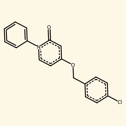 O=c1cc(OCc2ccc(Cl)cc2)ccn1C1=CC=C=C=C1